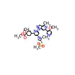 COC(=O)C1(OC)CCC(c2cc(N3C[C@H](CS(C)(=O)=O)[C@H]3C)cc(-n3ncc4c(C)nc(-c5cnccc5OC)cc43)n2)CC1